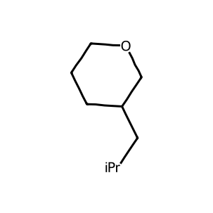 CC(C)CC1CCCOC1